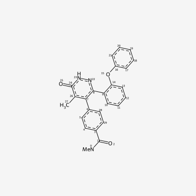 CNC(=O)c1ccc(-c2c(-c3ccccc3Oc3ccccc3)n[nH]c(=O)c2C)cc1